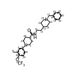 Cc1cc(N2CCC(C(=O)NCCC3CCN(Cc4ccccc4)CC3)CC2)ccc1OC(F)(F)F